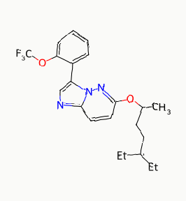 CC[C](CC)CCC(C)Oc1ccc2ncc(-c3ccccc3OC(F)(F)F)n2n1